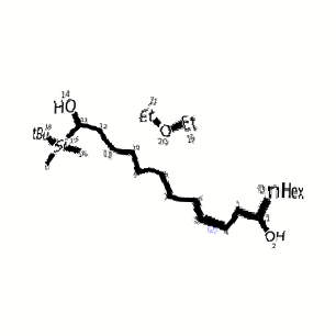 CCCCCCC(O)C/C=C\CCCCCCCC(O)[Si](C)(C)C(C)(C)C.CCOCC